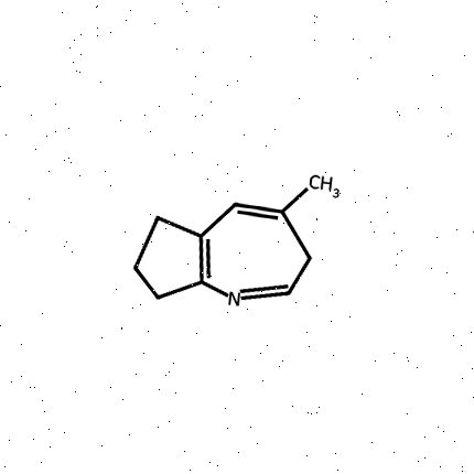 CC1=CC2=C(CCC2)N=CC1